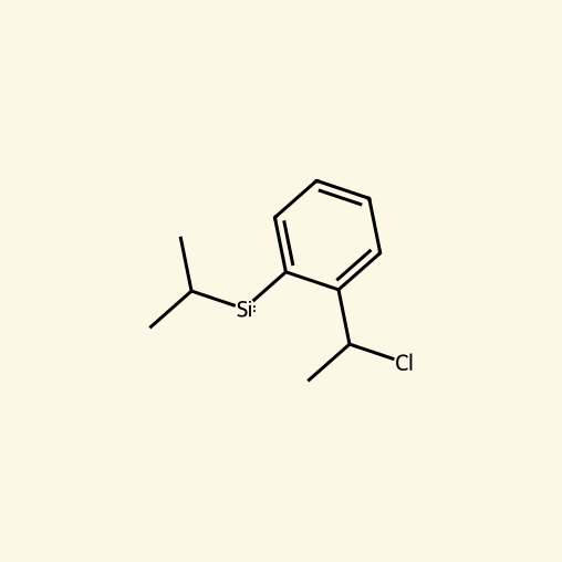 CC(C)[Si]c1ccccc1C(C)Cl